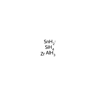 [AlH3].[SiH4].[SnH2].[Zr]